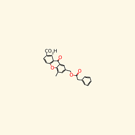 Cc1cc(COC(=O)Cc2ccccc2)cc2c(=O)c3cc(C(=O)O)ccc3oc12